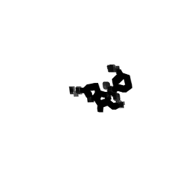 Cc1c(CBr)n(S(=O)(=O)c2cccc(C(C)(C)C)c2)c2ccc(C(F)(F)F)nc12